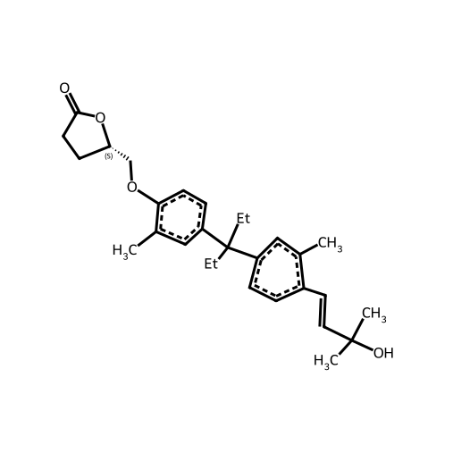 CCC(CC)(c1ccc(C=CC(C)(C)O)c(C)c1)c1ccc(OC[C@@H]2CCC(=O)O2)c(C)c1